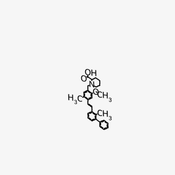 COc1cc(/C=C/c2cccc(-c3ccccc3)c2C)c(C)cc1CN1CCCCC1C(=O)O